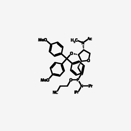 COc1ccc(C(O[C@@H]2[C@H](N(C)C(C)=O)CO[C@@H]2COP(OCCC#N)N(C(C)C)C(C)C)(c2ccccc2)c2ccc(OC)cc2)cc1